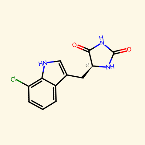 O=C1NC(=O)[C@H](Cc2c[nH]c3c(Cl)cccc23)N1